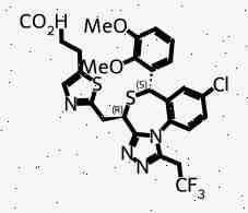 COc1cccc([C@H]2S[C@H](Cc3ncc(CCC(=O)O)s3)c3nnc(CC(F)(F)F)n3-c3ccc(Cl)cc32)c1OC